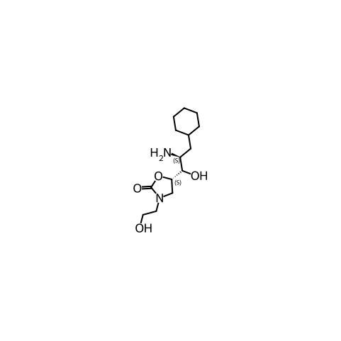 N[C@@H](CC1CCCCC1)C(O)[C@@H]1CN(CCO)C(=O)O1